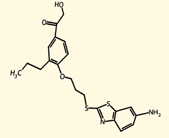 CCCc1cc(C(=O)CO)ccc1OCCCSc1nc2ccc(N)cc2s1